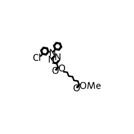 COC(=O)CCCCCCOC(=O)c1cnc(N(c2ccccc2)c2cccc(Cl)c2)nc1